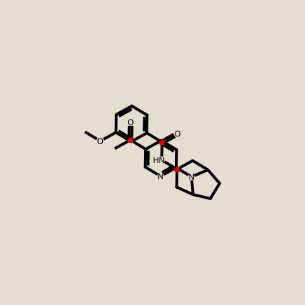 COc1cccc(C(=O)NC2CC3CCC(C2)N3c2ccc(C(C)=O)cn2)c1